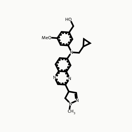 COc1cc(CO)cc(N(CC2CC2)c2ccc3ncc(C4C=NN(C)C4)nc3c2)c1